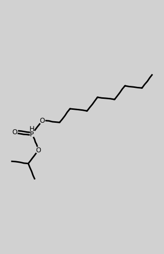 CCCCCCCCO[PH](=O)OC(C)C